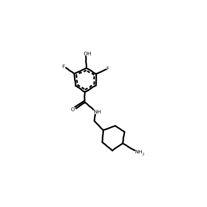 NC1CCC(CNC(=O)c2cc(F)c(O)c(F)c2)CC1